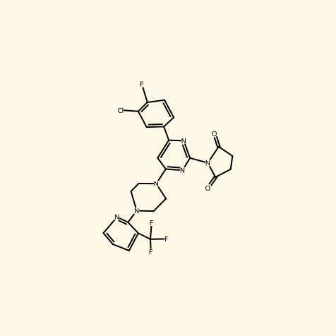 O=C1CCC(=O)N1c1nc(-c2ccc(F)c(Cl)c2)cc(N2CCN(c3ncccc3C(F)(F)F)CC2)n1